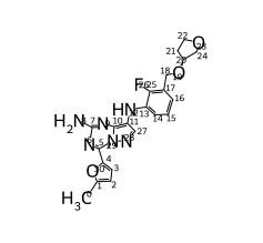 Cc1ccc(-c2nc(N)nc3c(Nc4cccc(CO[C@H]5CCOC5)c4F)cnn23)o1